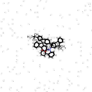 CC(C)(C)c1ccc2c(c1)C1(c3ccccc3-c3ccc(N(C4=C=C=C5C(=C4)C(C)(C)c4ccccc45)c4ccccc4C4=CC=CCC4)cc31)c1cc(C(C)(C)C)ccc1-2